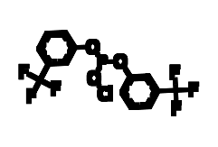 FC(F)(F)c1cccc(OP(OCl)Oc2cccc(C(F)(F)F)c2)c1